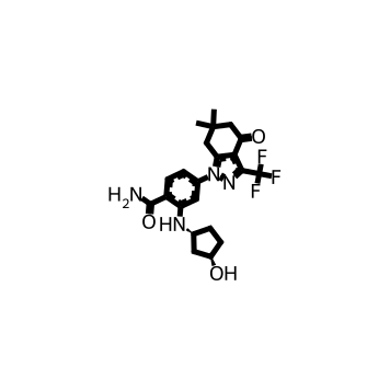 CC1(C)CC(=O)c2c(C(F)(F)F)nn(-c3ccc(C(N)=O)c(N[C@@H]4CC[C@@H](O)C4)c3)c2C1